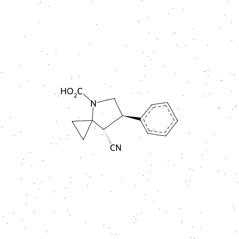 N#C[C@H]1[C@H](c2ccccc2)CN(C(=O)O)C12CC2